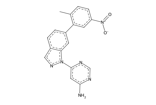 Cc1ccc([N+](=O)[O-])cc1-c1ccc2cnn(-c3cc(N)ncn3)c2c1